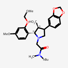 CCCCN(C)C(=O)CN1CC(c2ccc3c(c2)OCO3)[C@H](C(=O)O)[C@H]1c1ccc(OC)cc1OCOC